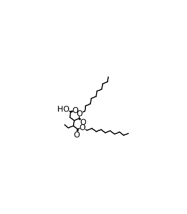 CCCCCCCCCCOC(=O)C(CC)C(CC(=O)O)C(=O)OCCCCCCCCCC